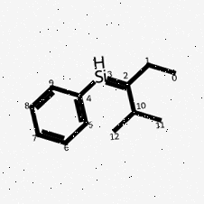 CCC(=[SiH]c1ccccc1)C(C)C